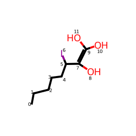 CCCCCC(I)C(O)=C(O)O